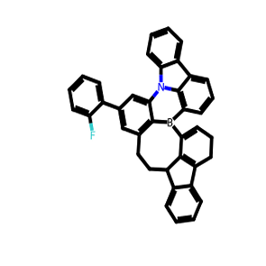 Fc1ccccc1-c1cc2c3c(c1)-n1c4ccccc4c4cccc(c41)B3C1=CCCC3=C1C(CC2)c1ccccc13